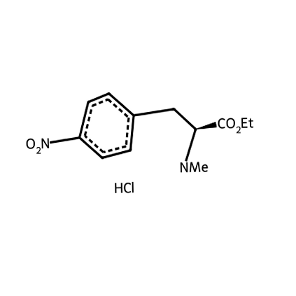 CCOC(=O)[C@H](Cc1ccc([N+](=O)[O-])cc1)NC.Cl